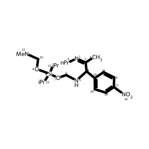 CCC/N=C(/C)C(NCO[Si](OCNC)(C(C)C)C(C)C)c1ccc([N+](=O)[O-])cc1